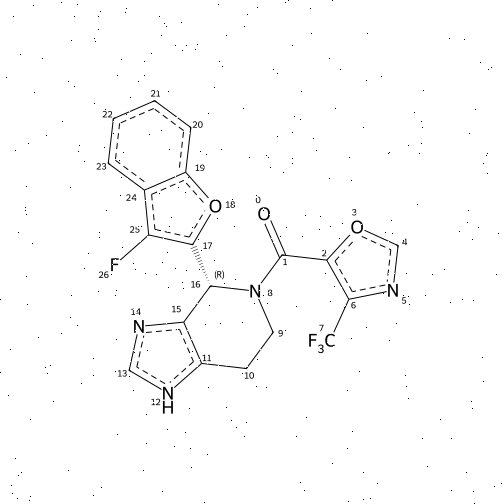 O=C(c1ocnc1C(F)(F)F)N1CCc2[nH]cnc2[C@@H]1c1oc2ccccc2c1F